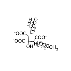 O.O.O.O.O.O.O.O=C([O-])CC(O)(CC(=O)[O-])C(=O)[O-].[Li+].[Li+].[Li+]